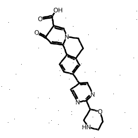 O=C(O)c1cn2c(cc1=O)-c1ccc(-c3cnc(C4CNCCO4)nc3)cc1CC2